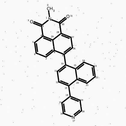 CN1C(=O)c2cccc3c(-c4ccc(-c5ccncc5)c5ccccc45)ccc(c23)C1=O